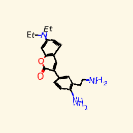 CCN(CC)c1ccc2cc(-c3ccc(N)c(CCN)c3)c(=O)oc2c1